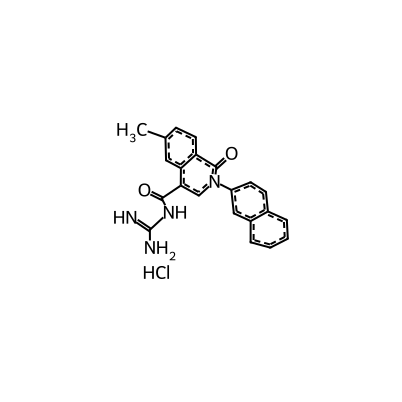 Cc1ccc2c(=O)n(-c3ccc4ccccc4c3)cc(C(=O)NC(=N)N)c2c1.Cl